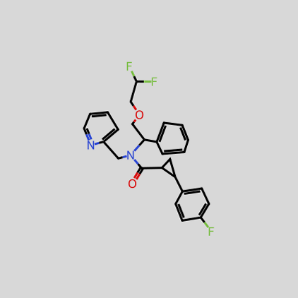 O=C(C1CC1c1ccc(F)cc1)N(Cc1ccccn1)C(COCC(F)F)c1ccccc1